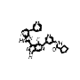 O=C(Nc1cncc(-c2ncc3[nH]nc(-c4nc5c(-c6cccnc6)ccnc5[nH]4)c3c2F)c1)C1CCCC1